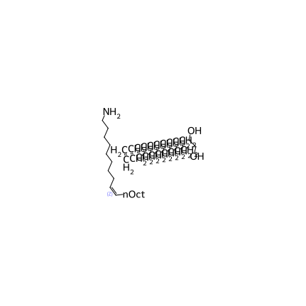 C=C.C=C.C=C.C=C.C=C.C=C.C=C.C=C.C=C.C=C.CCCCCCCC/C=C\CCCCCCCCN.OCCO